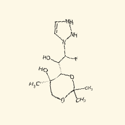 CC1(C)OC[C@@](C)(O)[C@H](C(O)C(F)N2C=CNN2)O1